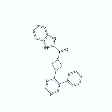 O=C(c1nc2ccccc2[nH]1)N1CC(c2ncncc2-c2ccccc2)C1